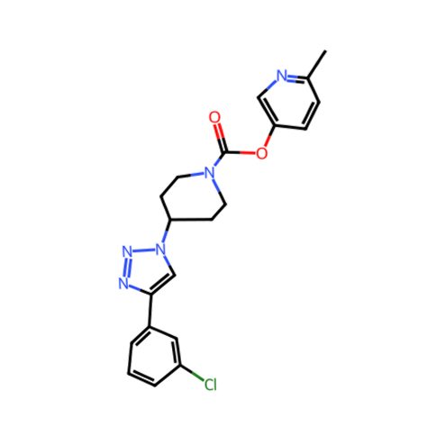 Cc1ccc(OC(=O)N2CCC(n3cc(-c4cccc(Cl)c4)nn3)CC2)cn1